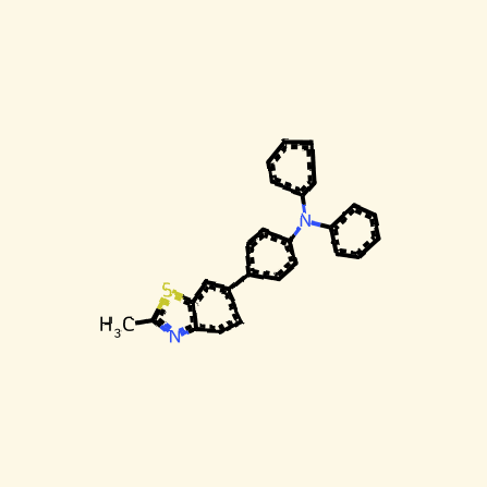 Cc1nc2ccc(-c3ccc(N(c4ccccc4)c4ccccc4)cc3)cc2s1